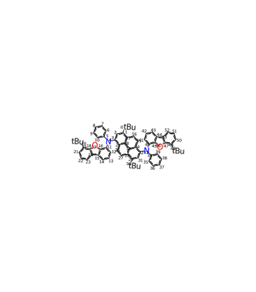 CC(C)(C)c1cc(N(c2ccccc2)c2cccc3c2oc2c(C(C)(C)C)cccc23)c2ccc3c(C(C)(C)C)cc(N(c4ccccc4)c4cccc5c4oc4c(C(C)(C)C)cccc45)c4ccc1c2c43